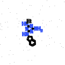 CCNc1nc(N)nc(NC2Cc3ccccc3C2)n1